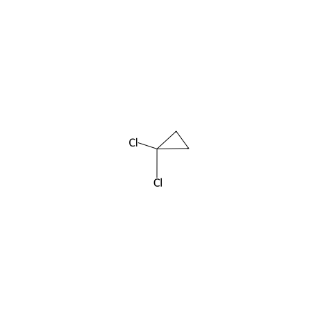 ClC1(Cl)CC1